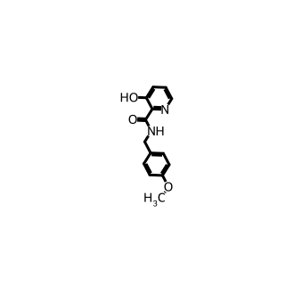 COc1ccc(CNC(=O)c2ncccc2O)cc1